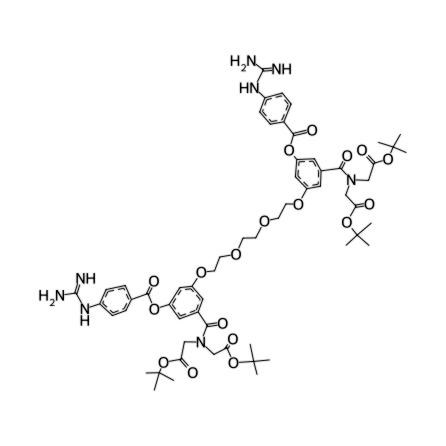 CC(C)(C)OC(=O)CN(CC(=O)OC(C)(C)C)C(=O)c1cc(OCCOCCOCCOc2cc(OC(=O)c3ccc(NC(=N)N)cc3)cc(C(=O)N(CC(=O)OC(C)(C)C)CC(=O)OC(C)(C)C)c2)cc(OC(=O)c2ccc(NC(=N)N)cc2)c1